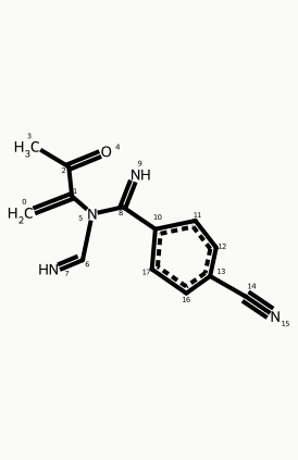 C=C(C(C)=O)N(C=N)C(=N)c1ccc(C#N)cc1